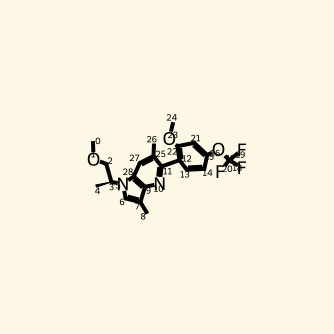 COC[C@H](C)n1cc(C)c2nc(-c3ccc(OC(F)(F)F)cc3OC)c(C)cc21